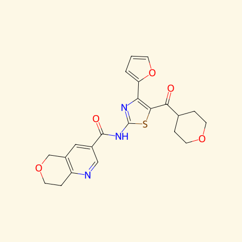 O=C(Nc1nc(-c2ccco2)c(C(=O)C2CCOCC2)s1)c1cnc2c(c1)COCC2